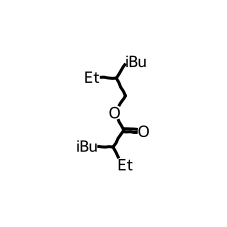 CCC(C)C(CC)COC(=O)C(CC)C(C)CC